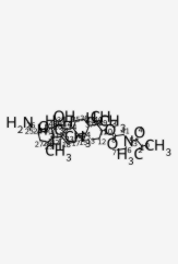 CC(C)C(=O)N1CCO[C@@H](O[C@H]2CC[C@]34C[C@]35CC[C@]3(C)[C@H]6[C@H](O[C@@H](CN)C[C@H]6C)[C@H](O)[C@@]3(C)[C@@H]5CC[C@H]4C2(C)C)C1